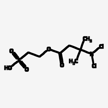 CC(C)(CC(=O)OCCS(=O)(=O)O)N(Cl)Cl